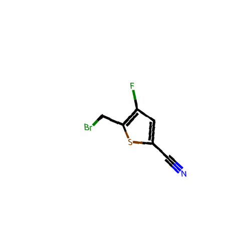 N#Cc1cc(F)c(CBr)s1